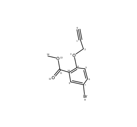 C#CCOc1ccc(Br)cc1C(=O)OC